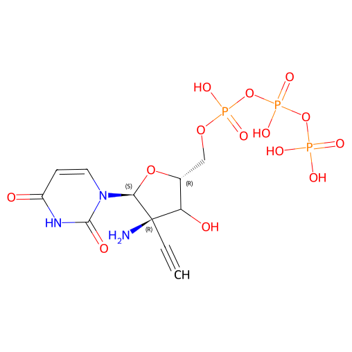 C#C[C@@]1(N)C(O)[C@@H](COP(=O)(O)OP(=O)(O)OP(=O)(O)O)O[C@@H]1n1ccc(=O)[nH]c1=O